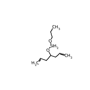 C=CCC(CC=C)O[SiH2]OCCC